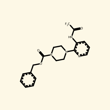 O=C(OCc1ccccc1)N1CCN(c2ncccc2NC(=O)C(F)(F)F)CC1